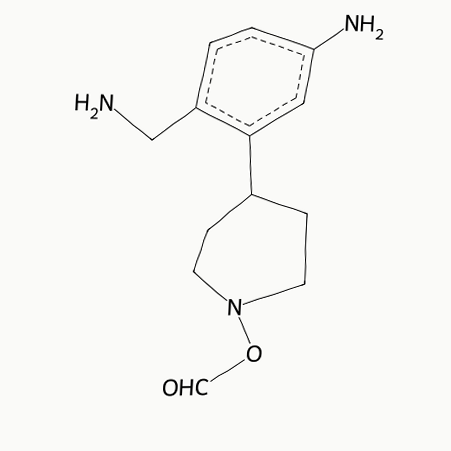 NCc1ccc(N)cc1C1CCN(OC=O)CC1